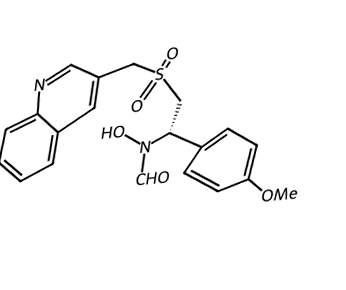 COc1ccc([C@@H](CS(=O)(=O)Cc2cnc3ccccc3c2)N(O)C=O)cc1